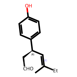 CC/C(C)=C/[C@@H](CC=O)c1ccc(O)cc1